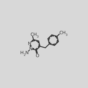 Cc1ccc(Cc2cc(C)nn(N)c2=O)cc1